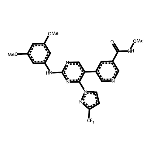 CONC(=O)c1cncc(-c2cnc(Nc3cc(OC)cc(OC)c3)nc2-n2ccc(C(F)(F)F)n2)c1